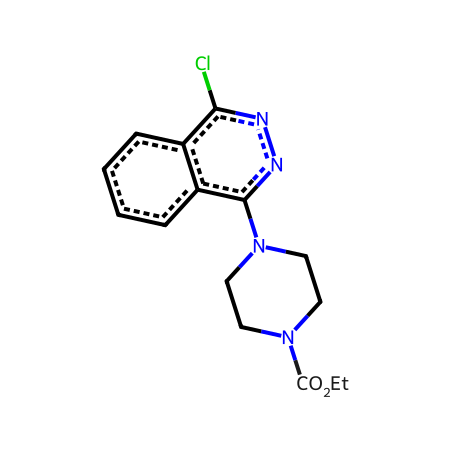 CCOC(=O)N1CCN(c2nnc(Cl)c3ccccc23)CC1